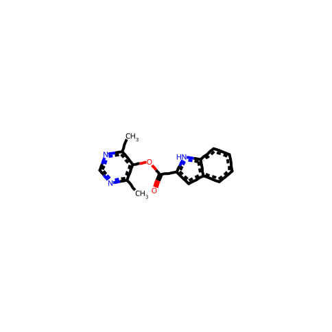 Cc1ncnc(C)c1OC(=O)c1cc2ccccc2[nH]1